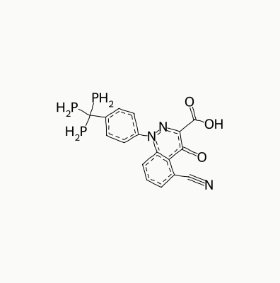 N#Cc1cccc2c1c(=O)c(C(=O)O)nn2-c1ccc(C(P)(P)P)cc1